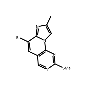 CSc1ncc2cc(Br)c3nc(C)cn3c2n1